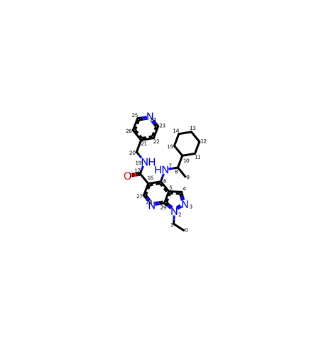 CCn1ncc2c(NC(C)C3CCCCC3)c(C(=O)NCc3ccncc3)cnc21